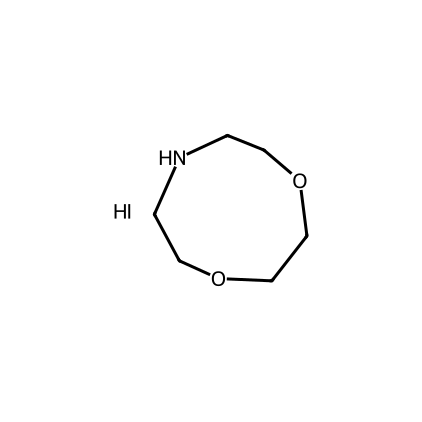 C1COCCOCCN1.I